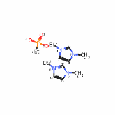 CCP(=O)([O-])[O-].CC[n+]1ccn(C)c1.CC[n+]1ccn(C)c1